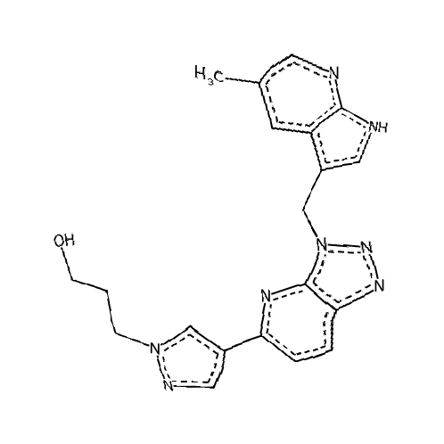 Cc1cnc2[nH]cc(Cn3nnc4ccc(-c5cnn(CCCO)c5)nc43)c2c1